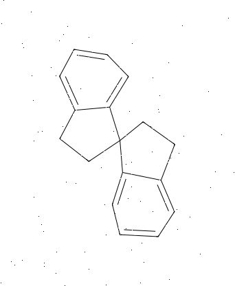 c1ccc2c(c1)CCC21CCc2ccccc21